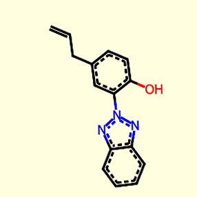 C=CCc1ccc(O)c(-n2nc3ccccc3n2)c1